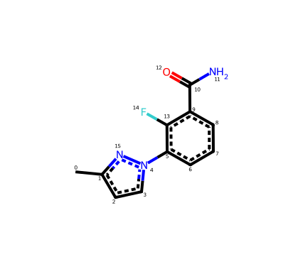 Cc1ccn(-c2cccc(C(N)=O)c2F)n1